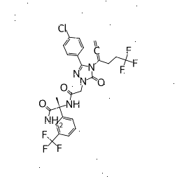 C=C=C(CCC(F)(F)F)n1c(-c2ccc(Cl)cc2)nn(CC(=O)N[C@@](C)(C(N)=O)c2cccc(C(F)(F)F)c2)c1=O